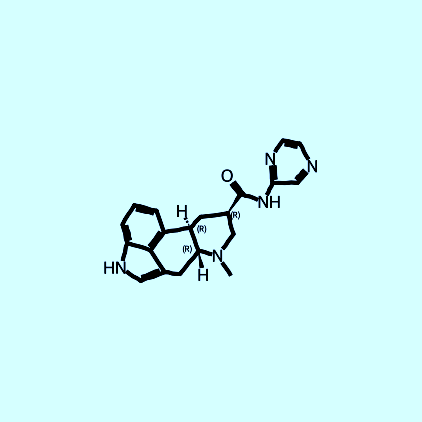 CN1C[C@H](C(=O)Nc2cnccn2)C[C@@H]2c3cccc4[nH]cc(c34)C[C@H]21